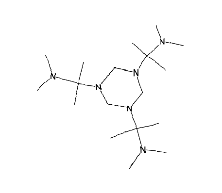 CN(C)C(C)(C)N1CN(C(C)(C)N(C)C)CN(C(C)(C)N(C)C)C1